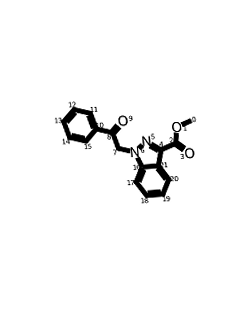 COC(=O)c1nn(CC(=O)c2ccccc2)c2ccccc12